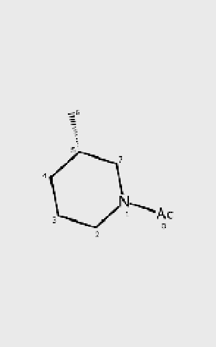 CC(=O)N1CCC[C@H](C)C1